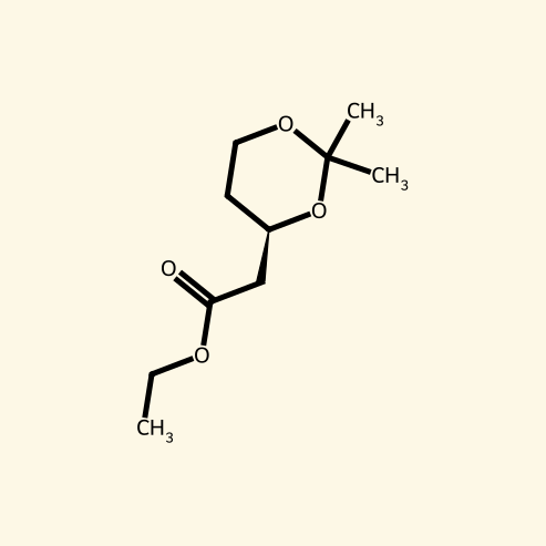 CCOC(=O)C[C@H]1CCOC(C)(C)O1